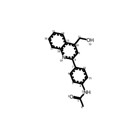 CC(=O)Nc1ccc(-c2cc(CO)c3ccccc3n2)cc1